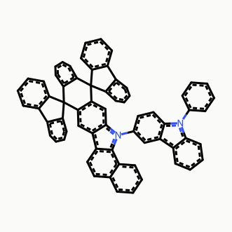 c1ccc(-n2c3ccccc3c3cc(-n4c5cc6c(cc5c5ccc7ccccc7c54)C4(c5ccccc5-c5ccccc54)c4ccccc4C64c5ccccc5-c5ccccc54)ccc32)cc1